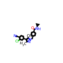 Cc1nn(Cc2ccc(C(=O)NC3CC3)cc2)c(C)c1-c1ccc(C#N)c(Cl)c1